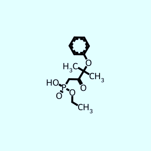 CCOP(=O)(O)CC(=O)C(C)(C)Oc1ccccc1